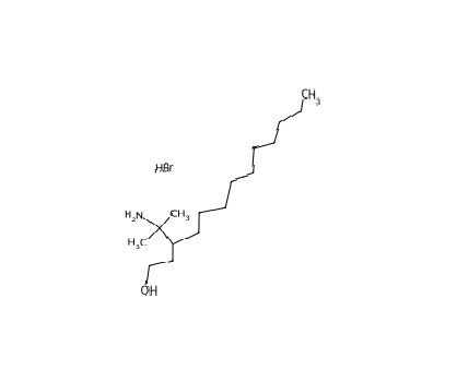 Br.CCCCCCCCCCC(CCO)C(C)(C)N